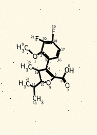 COc1c(C2=C(C(=O)O)OC(C(C)C)C2C)ccc(F)c1F